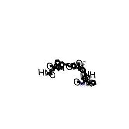 CNC(=O)CCC(C=O)N(C)c1cccc(CCCOC2CCN([S+]([O-])N3CCC(Nc4ncc(/C=C\C=O)c(N(C)C5CCCC5)n4)CC3)CC2)c1N(C)C